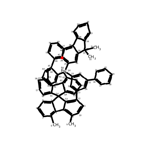 Cc1cccc2c1-c1c(C)ccc(-c3cc(-c4ccccc4)cc(N(c4ccc5c(c4)C(C)(C)c4ccccc4-5)c4ccccc4-c4ccccc4)c3)c1C21c2cccc(F)c2-c2c(F)cccc21